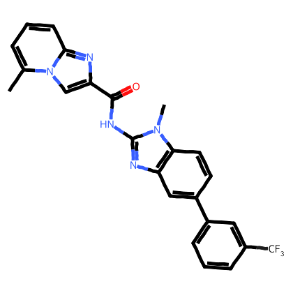 Cc1cccc2nc(C(=O)Nc3nc4cc(-c5cccc(C(F)(F)F)c5)ccc4n3C)cn12